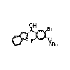 CCCCOc1cc(F)c(C(O)c2cc3ccccc3s2)cc1Br